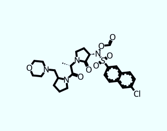 C[C@@H](C(=O)N1CCCC1CN1CCOCC1)N1CC[C@H](N(OC=O)S(=O)(=O)c2ccc3cc(Cl)ccc3c2)C1=O